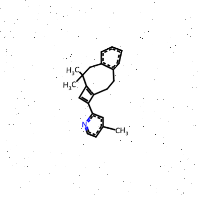 Cc1ccnc(C2=CC3=C2CCc2ccccc2CC3(C)C)c1